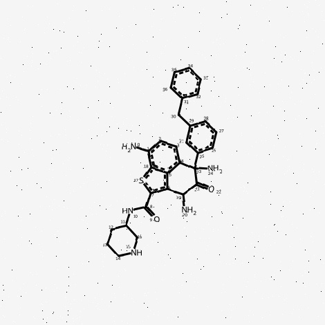 Nc1ccc2c3c(c(C(=O)NC4CCCNC4)sc13)C(N)C(=O)C2(N)c1cccc(Cc2ccccc2)c1